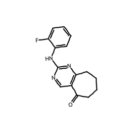 O=C1CCCCc2nc(Nc3ccccc3F)ncc21